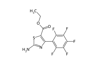 CCOC(=O)c1sc(N)nc1-c1c(F)c(F)c(F)c(F)c1F